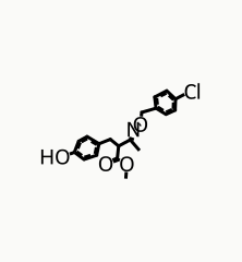 COC(=O)C(Cc1ccc(O)cc1)C(C)=NOCc1ccc(Cl)cc1